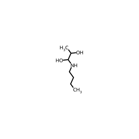 CCCCNC(O)C(C)O